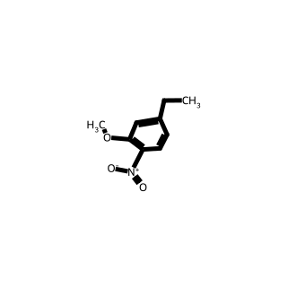 CCc1ccc([N+](=O)[O-])c(OC)c1